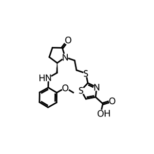 COc1ccccc1NC[C@H]1CCC(=O)N1CCSc1nc(C(=O)O)cs1